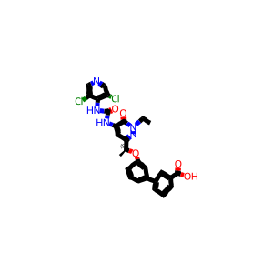 CCn1nc([C@H](C)Oc2cccc(-c3cccc(C(=O)O)c3)c2)cc(NC(=O)Nc2c(Cl)cncc2Cl)c1=O